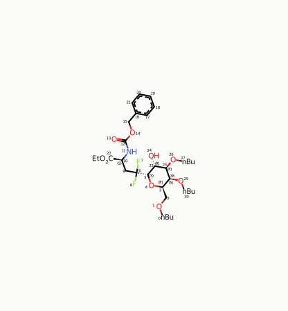 CCCCOC[C@H]1O[C@H](C(F)(F)C[C@H](NC(=O)OCc2ccccc2)C(=O)OCC)[C@H](O)[C@@H](OCCCC)[C@H]1OCCCC